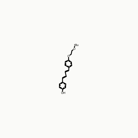 CC(C)(C)OCCOc1ccc(C=CC=Cc2ccc(O)cc2)cc1